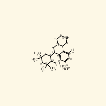 CC1(C)CC(C(CN2CCNCC2)c2cccc(Cl)c2)C(O)C(C)(C)C1.Cl.Cl